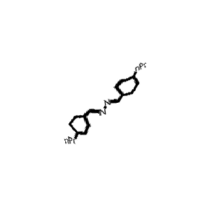 CCCC1CCC(C=NN=CC2CCC(CCC)CC2)CC1